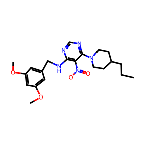 CCCC1CCN(c2ncnc(NCc3cc(OC)cc(OC)c3)c2[N+](=O)[O-])CC1